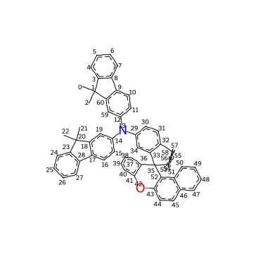 CC1(C)c2ccccc2-c2ccc(N(c3ccc4c(c3)C(C)(C)c3ccccc3-4)c3ccc4c(c3)C3(c5ccccc5Oc5ccc6ccccc6c53)c3ccccc3-4)cc21